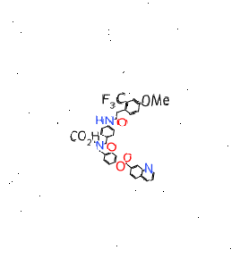 COc1ccc(CC(=O)Nc2ccc(C(=O)N(CC(=O)O)Cc3ccc(OC(=O)c4ccc5cccnc5c4)cc3)cc2)c(C(F)(F)F)c1